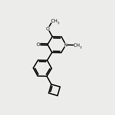 COc1cn(C)cc(-c2cccc(C3=CCC3)c2)c1=O